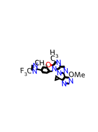 COc1ncnc(C2CC2)c1-c1ncc2nc(C)c(=O)n(Cc3ccc(-c4nc(C(F)(F)F)cn4C)cc3)c2n1